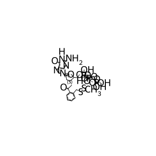 CSSCc1ccccc1C(=O)C[C@@H]1C[C@H](n2cnc3c(=O)[nH]c(N)nc32)OC1COP(=O)(O)OP(=O)(O)OP(=O)(O)O